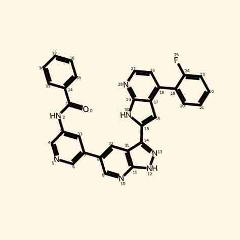 O=C(Nc1cncc(-c2cnc3[nH]nc(-c4cc5c(-c6ccccc6F)ccnc5[nH]4)c3c2)c1)c1ccccc1